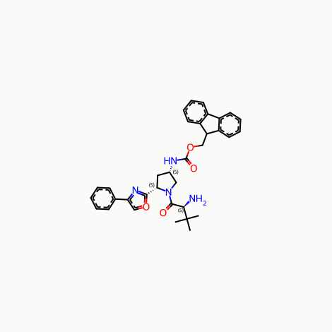 CC(C)(C)[C@H](N)C(=O)N1C[C@@H](NC(=O)OCC2c3ccccc3-c3ccccc32)C[C@H]1c1nc(-c2ccccc2)co1